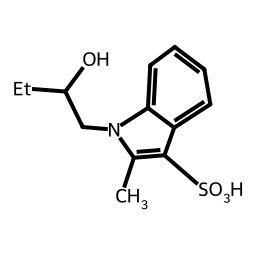 CCC(O)Cn1c(C)c(S(=O)(=O)O)c2ccccc21